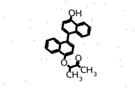 CC(=O)C(C)Oc1ccc(-c2ccc(O)c3ccccc23)c2ccccc12